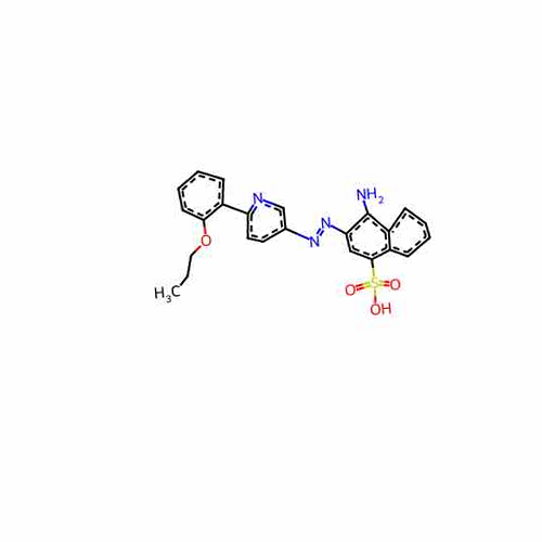 CCCOc1ccccc1-c1ccc(/N=N/c2cc(S(=O)(=O)O)c3ccccc3c2N)cn1